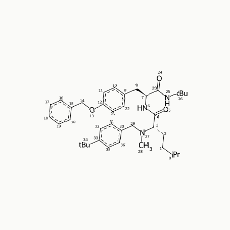 CC(C)CC[C@@H](C(=O)N[C@@H](Cc1ccc(OCc2ccccc2)cc1)C(=O)NC(C)(C)C)N(C)Cc1ccc(C(C)(C)C)cc1